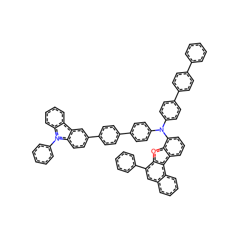 c1ccc(-c2ccc(-c3ccc(N(c4ccc(-c5ccc(-c6ccc7c(c6)c6ccccc6n7-c6ccccc6)cc5)cc4)c4cccc5c4oc4c(-c6ccccc6)cc6ccccc6c45)cc3)cc2)cc1